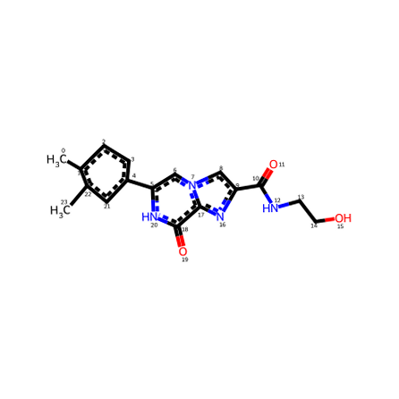 Cc1ccc(-c2cn3cc(C(=O)NCCO)nc3c(=O)[nH]2)cc1C